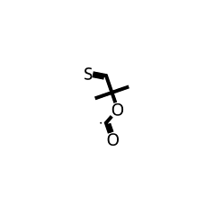 CC(C)(C=S)O[C]=O